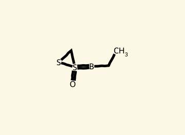 CCB=S1(=O)CS1